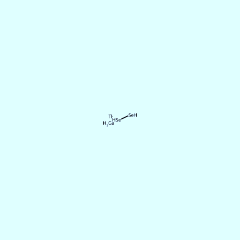 [GaH3].[SeH][SeH].[Tl]